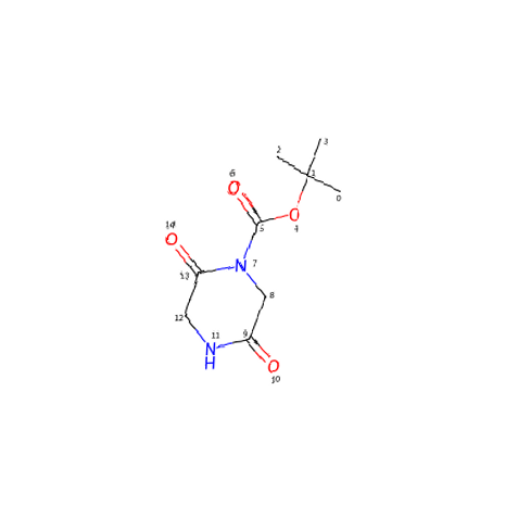 CC(C)(C)OC(=O)N1CC(=O)NCC1=O